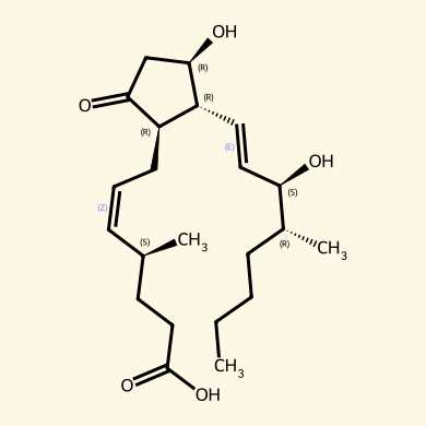 CCCC[C@@H](C)[C@H](O)/C=C/[C@H]1[C@H](O)CC(=O)[C@@H]1C/C=C\[C@@H](C)CCC(=O)O